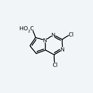 O=C(O)c1ccc2c(Cl)nc(Cl)nn12